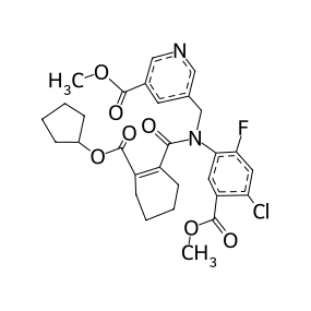 COC(=O)c1cncc(CN(C(=O)C2=C(C(=O)OC3CCCC3)CCCC2)c2cc(C(=O)OC)c(Cl)cc2F)c1